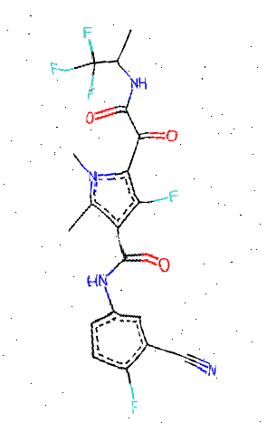 Cc1c(C(=O)Nc2ccc(F)c(C#N)c2)c(F)c(C(=O)C(=O)NC(C)C(F)(F)F)n1C